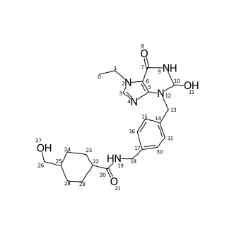 CCn1cnc2c1C(=O)NC(O)N2Cc1ccc(CNC(=O)C2CCC(CO)CC2)cc1